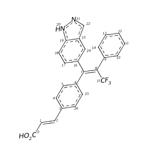 O=C(O)C=Cc1ccc(C(=C(c2ccccc2)C(F)(F)F)c2ccc3[nH]ncc3c2)cc1